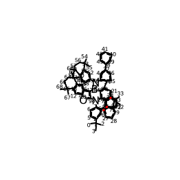 CC(C)(C)c1ccc(N2c3oc4cc5c(cc4c3B3c4c(cc6c(c42)-c2ccccc2C6(C)C)-c2ccc(-c4ccccc4)cc2N3c2ccc3c(c2)C(C)(C)CCC3(C)C)C(C)(C)CCC5(C)C)c(-c2ccccc2)c1